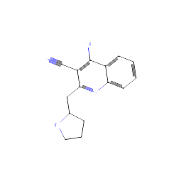 N#Cc1c(CC2CCCN2)nc2ccccc2c1N